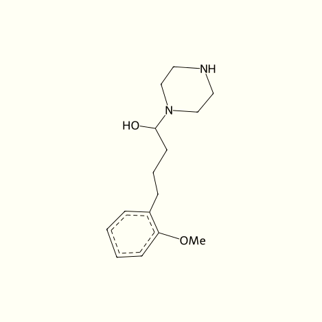 COc1ccccc1CCCC(O)N1CCNCC1